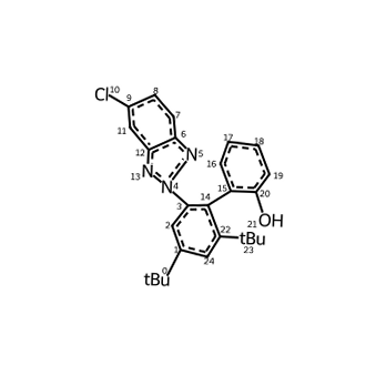 CC(C)(C)c1cc(-n2nc3ccc(Cl)cc3n2)c(-c2ccccc2O)c(C(C)(C)C)c1